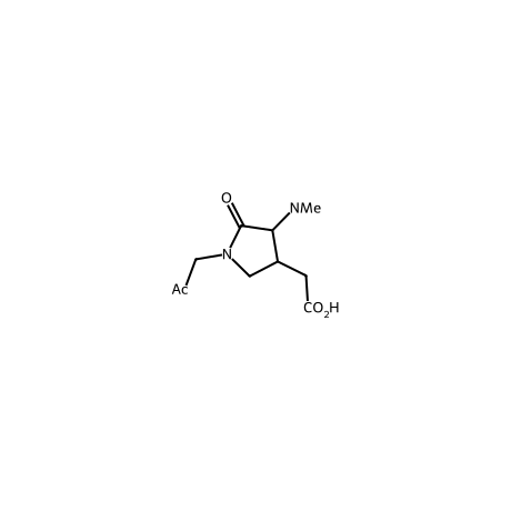 CNC1C(=O)N(CC(C)=O)CC1CC(=O)O